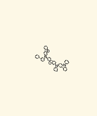 c1ccc(-c2cccc(N(c3ccc4c(c3)oc3ccccc34)c3ccc4c(c3)oc3cc(N(c5ccccc5)c5ccc6c(c5)c5ccccc5n6-c5ccccc5)ccc34)c2)cc1